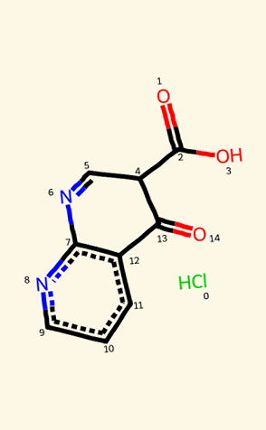 Cl.O=C(O)C1C=Nc2ncccc2C1=O